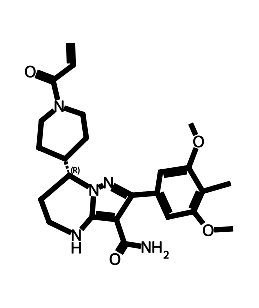 C=CC(=O)N1CCC([C@H]2CCNc3c(C(N)=O)c(-c4cc(OC)c(C)c(OC)c4)nn32)CC1